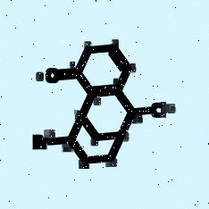 O=C1CC=CC2=C1C1CC(CCC1Br)C2Cl